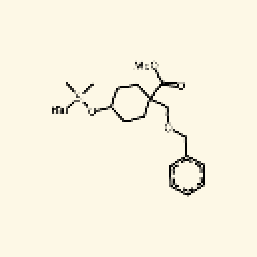 COC(=O)C1(COCc2ccccc2)CCC(O[Si](C)(C)C(C)(C)C)CC1